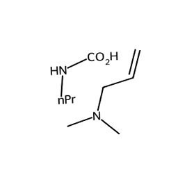 C=CCN(C)C.CCCNC(=O)O